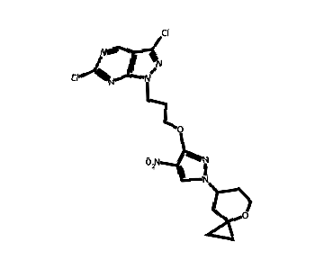 O=[N+]([O-])c1cn(C2CCOC3(CC3)C2)nc1OCCCn1nc(Cl)c2cnc(Cl)nc21